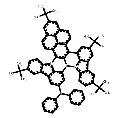 CC(C)(C)c1cc2ccc3c4c5c(c6ccc(c1)c2c36)-n1c2ccc(C(C)(C)C)cc2c2cc(N(c3ccccc3)c3ccccc3)cc(c21)B5n1c2ccc(C(C)(C)C)cc2c2cc(C(C)(C)C)cc-4c21